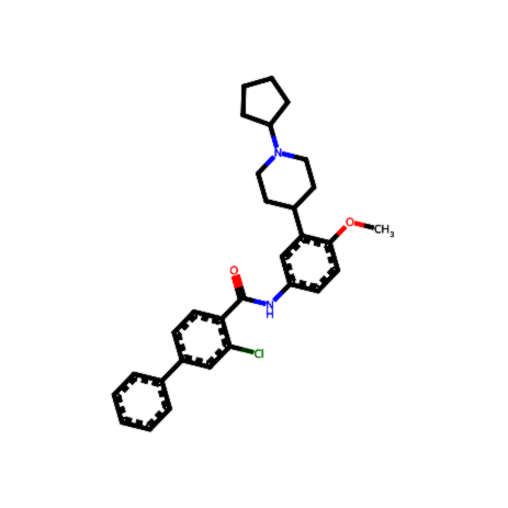 COc1ccc(NC(=O)c2ccc(-c3ccccc3)cc2Cl)cc1C1CCN(C2CCCC2)CC1